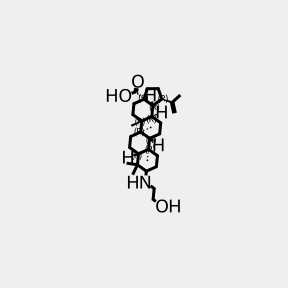 C=C(C)[C@@H]1CC[C@]2(C(=O)O)CC[C@]3(C)[C@H](CC[C@@H]4[C@@]5(C)CCC(NCCO)C(C)(C)[C@@H]5CC[C@]43C)[C@@H]12